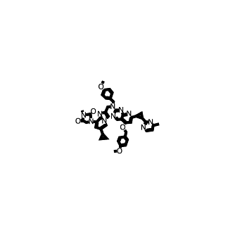 COc1ccc(COc2cc(C3CC3c3nccc(C)n3)nc3nc(N(Cc4ccc(OC)cc4)Cc4cn5cc(C6CC6)cc(N6CC(=O)N(C)C6=O)c5n4)ncc23)cc1